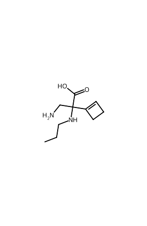 CCCNC(CN)(C(=O)O)C1=CCC1